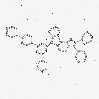 c1ccc(-c2sc3c(ccc4c3c3ccccc3n4-c3cc(-c4ccc(-c5ccncc5)cc4)cc(-c4ccncc4)n3)c2-c2ccccc2)cc1